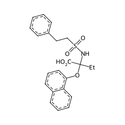 CCC(NS(=O)(=O)CCc1ccccc1)(Oc1cccc2ccccc12)C(=O)O